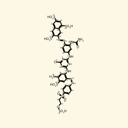 NC(=O)Nc1cc(Nc2nc(Cl)nc(Nc3cc(N)c(S(=O)(=O)O)cc3/N=N\c3ccc(S(=O)(=O)CCOS(=O)(=O)O)cc3)n2)ccc1/N=N/c1cc2c(S(=O)(=O)O)cc(S(=O)(=O)O)cc2cc1S(=O)(=O)O